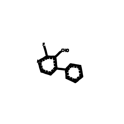 O=Cc1c(-c2ccccc2)ccnc1F